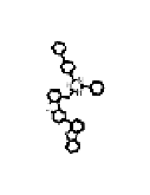 c1ccc(-c2ccc(-c3nc(Cc4cccc5oc6ccc(-c7cccc8c7sc7ccccc78)cc6c45)nc(-c4ccccc4)n3)cc2)cc1